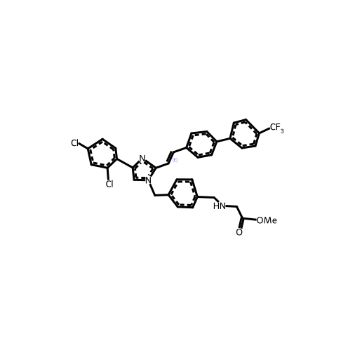 COC(=O)CNCc1ccc(Cn2cc(-c3ccc(Cl)cc3Cl)nc2/C=C/c2ccc(-c3ccc(C(F)(F)F)cc3)cc2)cc1